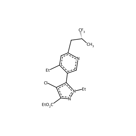 CCOC(=O)c1nn(CC)c(-c2cnc(C[C@@H](C)C(F)(F)F)cc2CC)c1Cl